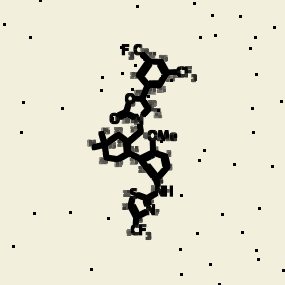 COc1ccc(Nc2nc(C(F)(F)F)cs2)cc1C1=C(CN2C(=O)OC(c3cc(C(F)(F)F)cc(C(F)(F)F)c3)[C@@H]2C)CC(C)(C)CC1